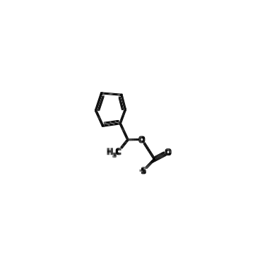 CC(OC(=O)[S])c1ccccc1